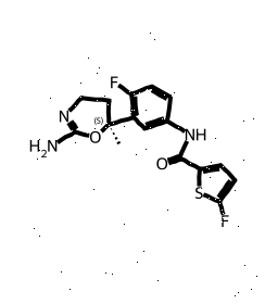 C[C@@]1(c2cc(NC(=O)c3ccc(F)s3)ccc2F)CCN=C(N)O1